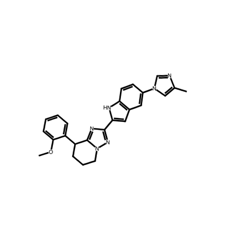 COc1ccccc1C1CCCn2nc(-c3cc4cc(-n5cnc(C)c5)ccc4[nH]3)nc21